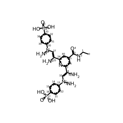 CCNC(=O)c1cc(/C(N)=C/N(N)c2ccc(P(=O)(O)O)cc2)nc(/C(N)=C/N(N)c2ccc(P(=O)(O)O)cc2)c1